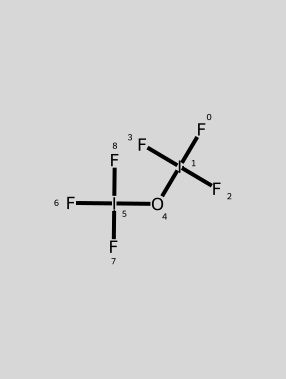 F[I](F)(F)O[I](F)(F)F